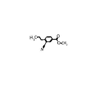 CCCc1ccc(C(=O)OC)cc1C#N